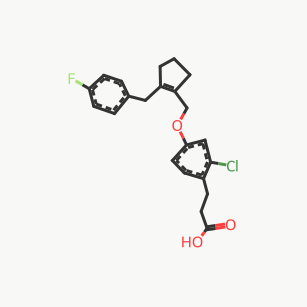 O=C(O)CCc1ccc(OCC2=C(Cc3ccc(F)cc3)CCC2)cc1Cl